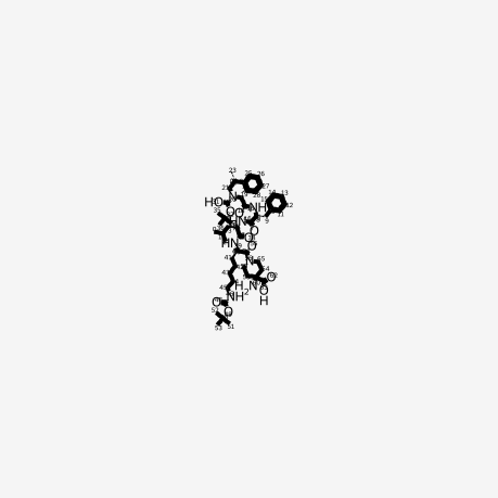 CC(C)C[C@@H](NC(=O)[C@@H](Cc1ccccc1)NC(=O)CN(C[C@H](C)c1ccccc1)C(O)OC(C)(C)C)C(=O)N[C@H](CCCCCNC(=O)OC(C)(C)C)C(=O)N1CCC(N)(C(=O)O)CC1